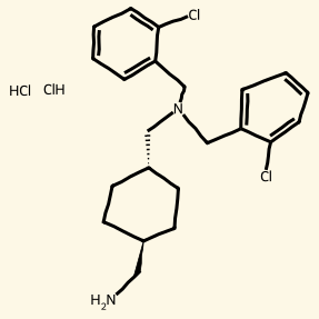 Cl.Cl.NC[C@H]1CC[C@H](CN(Cc2ccccc2Cl)Cc2ccccc2Cl)CC1